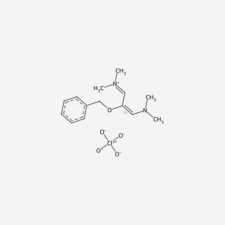 CN(C)/C=C(\C=[N+](C)C)OCc1ccccc1.[O-][Cl+3]([O-])([O-])[O-]